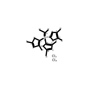 CC1=CC(C)=[C]([Zr+2]([C]2=CC(C)=C(C)C2)([C]2=C(C)C=C(C)C2)=[C](C)C)C1.[Cl-].[Cl-]